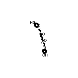 O=C(CCCC(=O)OCCSc1ccc(O)cc1)OCCSc1ccc(O)cc1